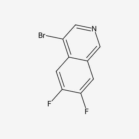 Fc1cc2cncc(Br)c2cc1F